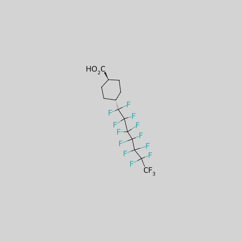 O=C(O)[C@H]1CC[C@H](C(F)(F)C(F)(F)C(F)(F)C(F)(F)C(F)(F)C(F)(F)C(F)(F)F)CC1